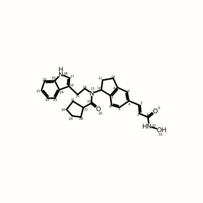 O=C(C=Cc1ccc2c(c1)CCC2N(CCc1c[nH]c2ccccc12)C(=O)C1CCCC1)NO